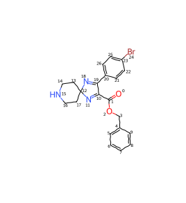 O=C(OCc1ccccc1)C1=NC2(CCNCC2)N=C1c1ccc(Br)cc1